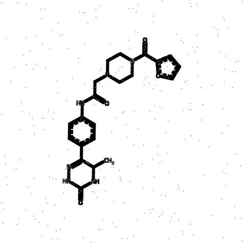 CC1NC(=O)NN=C1c1ccc(NC(=O)CN2CCN(C(=O)c3ccco3)CC2)cc1